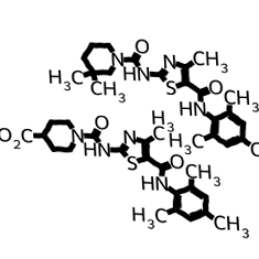 CCOC(=O)C1CCN(C(=O)Nc2nc(C)c(C(=O)Nc3c(C)cc(C)cc3C)s2)CC1.Cc1cc(C)c(NC(=O)c2sc(NC(=O)N3CCCC(C)(C)C3)nc2C)c(C)c1